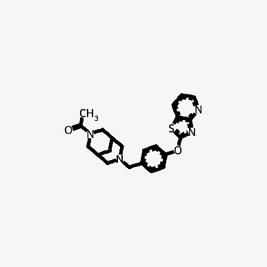 CC(=O)N1CC2CC(CN(Cc3ccc(Oc4nc5ncccc5s4)cc3)C2)C1